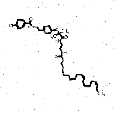 CC/C=C\C/C=C\C/C=C\C/C=C\C/C=C\CCCC(=O)NCCNC(=O)C(C)(C)Oc1ccc(CCNC(=O)c2ccc(Cl)cc2)cc1